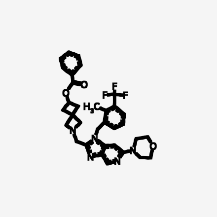 Cc1c(Cn2c(CN3CC4(CC(OC(=O)c5ccccc5)C4)C3)nc3cnc(N4CCOCC4)cc32)cccc1C(F)(F)F